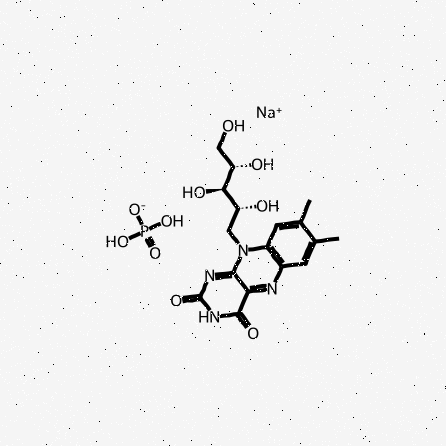 Cc1cc2nc3c(=O)[nH]c(=O)nc-3n(C[C@@H](O)[C@@H](O)[C@@H](O)CO)c2cc1C.O=P([O-])(O)O.[Na+]